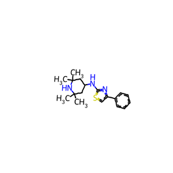 CC1(C)CC(Nc2nc(-c3ccccc3)cs2)CC(C)(C)N1